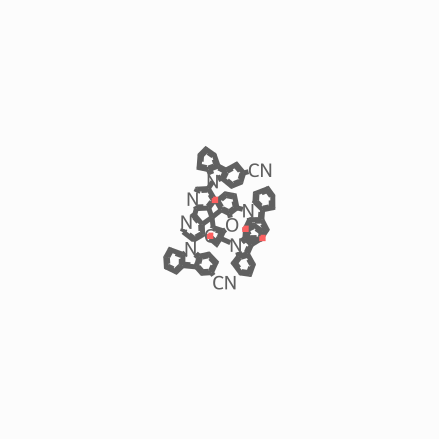 N#Cc1ccc2c(c1)c1ccccc1n2-c1cnc2c(c1)C1(c3cc(-n4c5ccccc5c5cc(C#N)ccc54)cnc3-2)c2cccc(-n3c4ccccc4c4ccccc43)c2Oc2c(-n3c4ccccc4c4ccccc43)cccc21